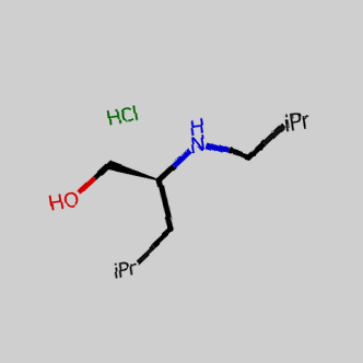 CC(C)CN[C@H](CO)CC(C)C.Cl